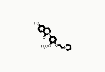 COc1cc(N2CCc3cc(O)ccc3C2=O)ccc1OCCN1CCCC1